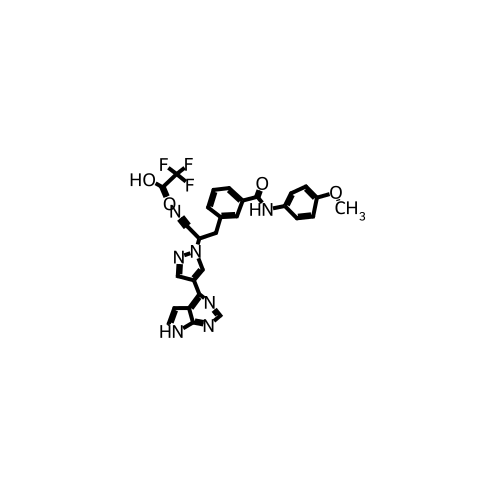 COc1ccc(NC(=O)c2cccc(CC(C#N)n3cc(-c4ncnc5[nH]ccc45)cn3)c2)cc1.O=C(O)C(F)(F)F